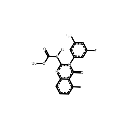 CCN(C(=O)OC(C)(C)C)c1nc2cccc(F)c2c(=O)n1-c1cc(F)cc(C(F)(F)F)c1